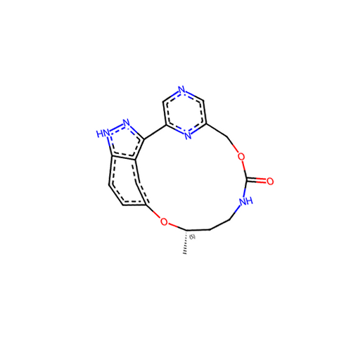 C[C@H]1CCNC(=O)OCc2cncc(n2)-c2n[nH]c3ccc(cc23)O1